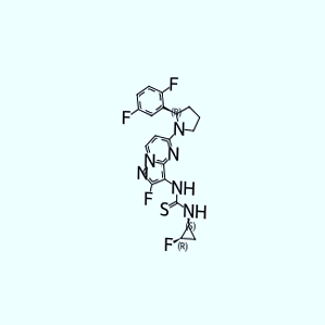 Fc1ccc(F)c([C@H]2CCCN2c2ccn3nc(F)c(NC(=S)N[C@H]4C[C@H]4F)c3n2)c1